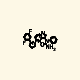 NC(=O)N(c1ccccc1)c1cnn2ccc(N3CCCC3c3cc(F)ccc3F)nc12